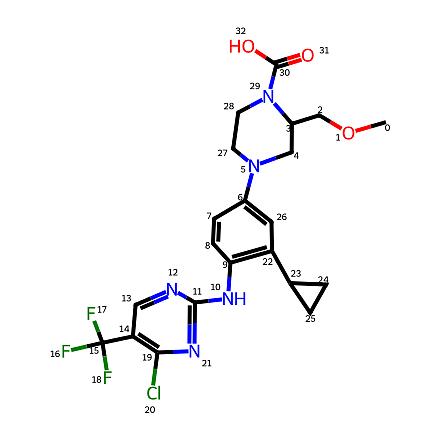 COCC1CN(c2ccc(Nc3ncc(C(F)(F)F)c(Cl)n3)c(C3CC3)c2)CCN1C(=O)O